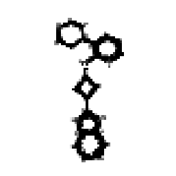 c1cnc(O[C@H]2C[C@H](c3nc4ccccc4s3)C2)c(C2CCOCC2)c1